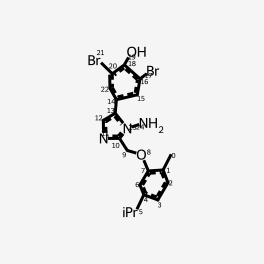 Cc1ccc(C(C)C)cc1OCc1ncc(-c2cc(Br)c(O)c(Br)c2)n1N